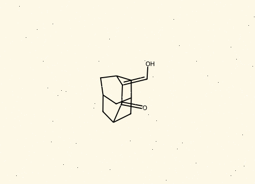 O=C1/C(=C/O)C2CC3CC(CC1C3)C2